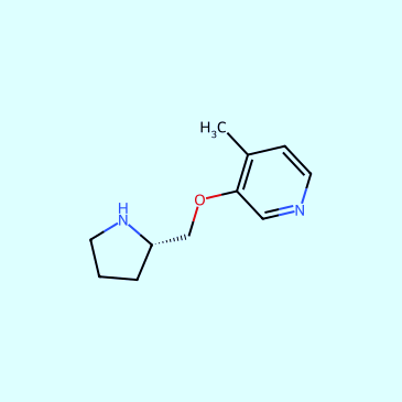 Cc1ccncc1OC[C@@H]1CCCN1